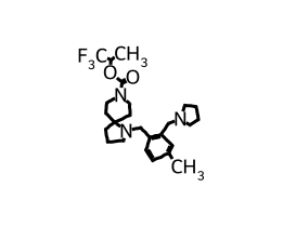 Cc1ccc(CN2CCCC23CCN(C(=O)OC(C)C(F)(F)F)CC3)c(CN2CCCC2)c1